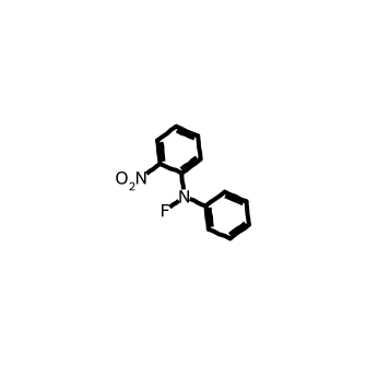 O=[N+]([O-])c1ccccc1N(F)c1ccccc1